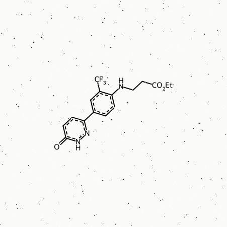 CCOC(=O)CCNc1ccc(-c2ccc(=O)[nH]n2)cc1C(F)(F)F